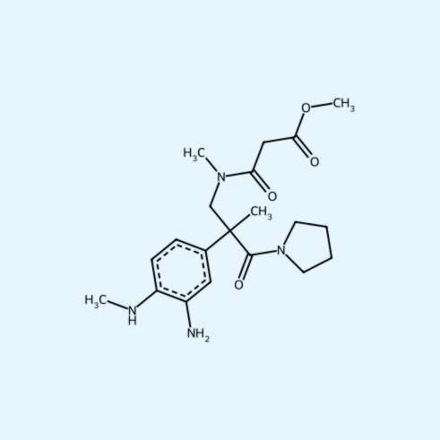 CNc1ccc(C(C)(CN(C)C(=O)CC(=O)OC)C(=O)N2CCCC2)cc1N